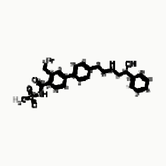 CC(C)Cc1cc(-c2ccc(CCNC[C@H](O)c3ccccc3)cc2)ccc1C(=O)NS(C)(=O)=O